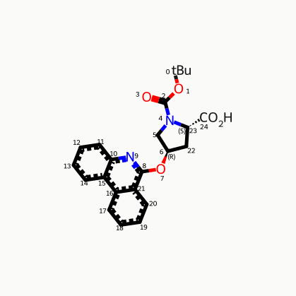 CC(C)(C)OC(=O)N1C[C@H](Oc2nc3ccccc3c3ccccc23)C[C@H]1C(=O)O